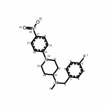 CN(Cc1ccc(F)cc1)C1CCN(c2ccc([N+](=O)[O-])cc2)CC1